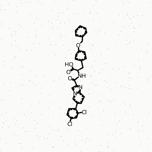 O=C(NC(Cc1ccc(OCc2ccccc2)cc1)C(=O)O)c1cn2cc(-c3ccc(Cl)cc3Cl)ccc2n1